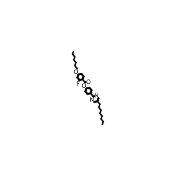 CCCCCCCCc1cnc(-c2ccc(OC(=O)c3ccc(OCCCCCCC)cc3F)cc2)nc1